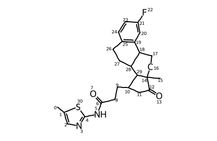 Cc1cnc(NC(=O)CCC2CC(=O)C3(C)CCC4c5cc(F)ccc5CCC4C23)s1